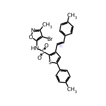 Cc1ccc(/C=C/c2cc(-c3ccc(C)cc3)sc2S(=O)(=O)Nc2onc(C)c2Br)cc1